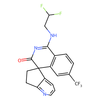 O=C1N=C(NCC(F)F)c2ccc(C(F)(F)F)cc2C12CCc1ncccc12